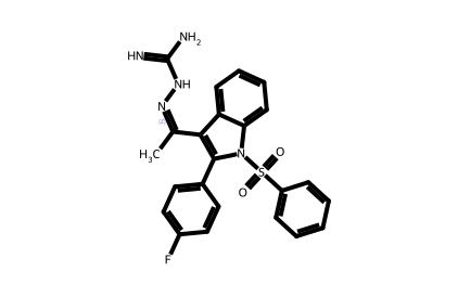 C/C(=N/NC(=N)N)c1c(-c2ccc(F)cc2)n(S(=O)(=O)c2ccccc2)c2ccccc12